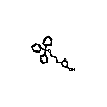 OC1COC(CCCOC(c2ccccc2)(c2ccccc2)c2ccccc2)C1